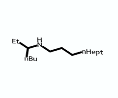 CCCCCCCCCCNC(CC)CCCC